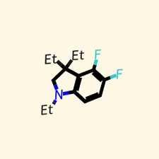 CCN1CC(CC)(CC)c2c1ccc(F)c2F